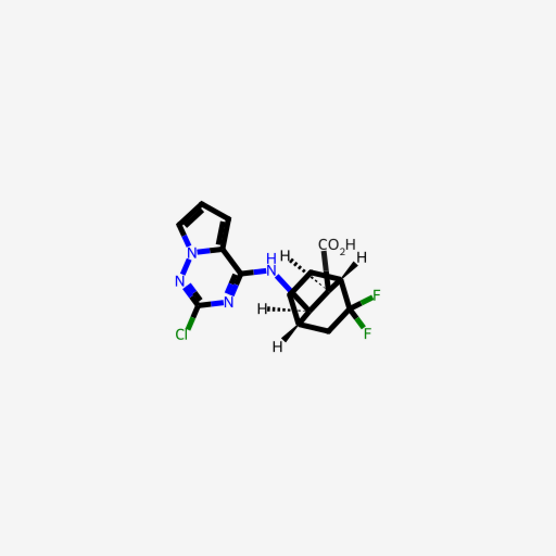 O=C(O)[C@@H]1[C@H](Nc2nc(Cl)nn3cccc23)[C@H]2CC[C@@H]1C(F)(F)C2